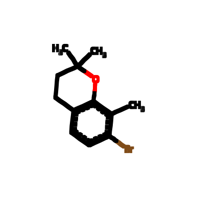 Cc1c(Br)ccc2c1OC(C)(C)CC2